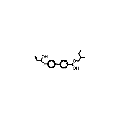 C=CC(O)Oc1ccc(-c2ccc(C(O)OCC(C)CC)cc2)cc1